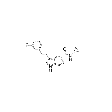 O=C(NC1CC1)c1cc2c(C=Cc3cccc(F)c3)n[nH]c2cn1